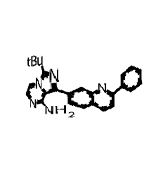 CC(C)(C)c1nc(-c2ccc3ccc(-c4ccccc4)nc3c2)c2c(N)nccn12